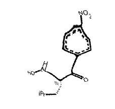 CC(C)C[C@H](NO)C(=O)c1ccc([N+](=O)[O-])cc1